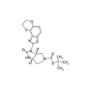 CC(C)(C)OC(=O)N1CC[C@@H]2NC(=O)N(c3nc4c5c(ccc4s3)OCCO5)[C@@H]2C1